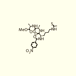 COC(=O)[C@@H](C)NC(=O)[C@@H](C)NC(=O)[C@@H](CCCCNC(C)=S)NC(=O)c1ccc([N+](=O)[O-])cc1